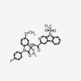 COc1ccc2c(c1)[C@](C)(NC(=O)c1cc3c4ccccc4n(S(C)(=O)=O)c3cn1)C(=O)N2c1ccc(F)cc1